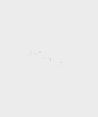 CC1(C)C=Cc2cc(C(=O)NCCCCc3ccccc3)ccc2O1